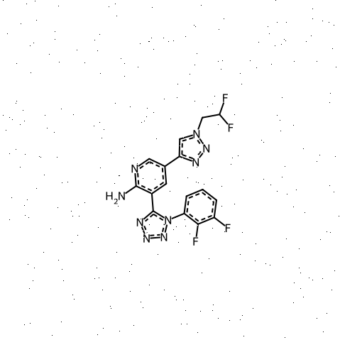 Nc1ncc(-c2cn(CC(F)F)nn2)cc1-c1nnnn1-c1cccc(F)c1F